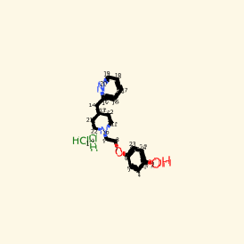 Cl.Cl.Oc1ccc(OCCN2CCC(Cc3ccccn3)CC2)cc1